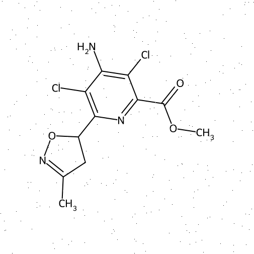 COC(=O)c1nc(C2CC(C)=NO2)c(Cl)c(N)c1Cl